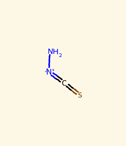 N[N+]=C=S